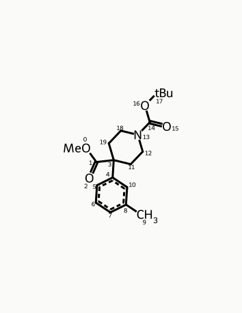 COC(=O)C1(c2cccc(C)c2)CCN(C(=O)OC(C)(C)C)CC1